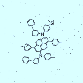 Cc1ccc(-c2cc(N(c3ccc(C)cc3)c3cccc(-c4ccccc4)c3)c3ccc4c(-c5ccc(C)cc5)cc(N(c5ccc([Si](C)(C)C)cc5)c5cccc(-c6ccccc6)c5)c5ccc2c3c45)cc1